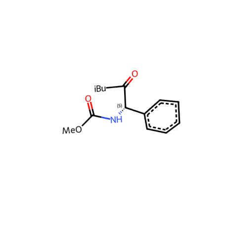 CCC(C)C(=O)[C@@H](NC(=O)OC)c1ccccc1